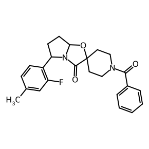 Cc1ccc(C2CCC3OC4(CCN(C(=O)c5ccccc5)CC4)C(=O)N32)c(F)c1